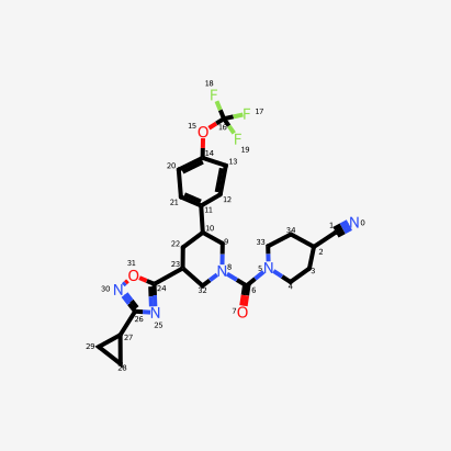 N#CC1CCN(C(=O)N2CC(c3ccc(OC(F)(F)F)cc3)CC(c3nc(C4CC4)no3)C2)CC1